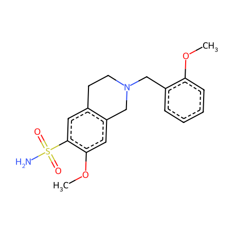 COc1ccccc1CN1CCc2cc(S(N)(=O)=O)c(OC)cc2C1